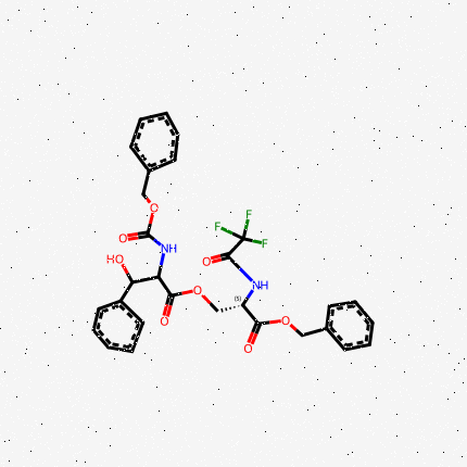 O=C(NC(C(=O)OC[C@H](NC(=O)C(F)(F)F)C(=O)OCc1ccccc1)C(O)c1ccccc1)OCc1ccccc1